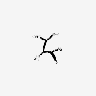 B.O=[C]C(O)C(O)[C](=O)[Na]